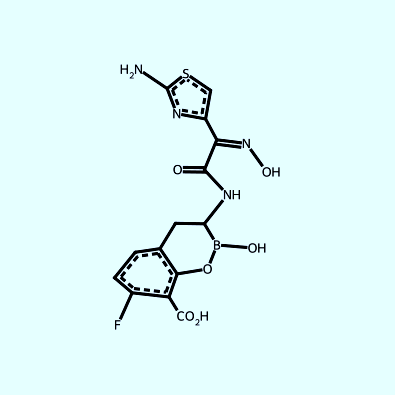 Nc1nc(C(=NO)C(=O)NC2Cc3ccc(F)c(C(=O)O)c3OB2O)cs1